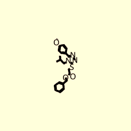 COc1ccc(-c2nnc(SCC(=O)OCc3ccccc3)n2CC(C)C)cc1